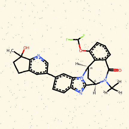 [2H]C([2H])([2H])N1C(=O)c2cccc(OC(F)F)c2[C@H]2C[C@@H]1c1nc3ccc(-c4cnc5c(c4)CCC5(C)O)cc3n12